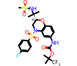 CC(C)(NS(C)(=O)=O)[C@H]1CN(S(=O)(=O)c2ccc(F)cc2)c2cc(NC(=O)OC(C)(C)C(F)(F)F)ccc2O1